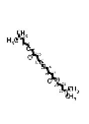 CN(C)CCCOCC(=O)CCSSCCCC(=O)OCCCN(C)C